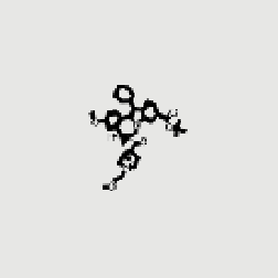 COCCN1CC2CCC1CN2C(=O)[C@]12C[C@H]1c1cc(OC)ccc1-c1c(C3CCCCC3)c3ccc(C(=O)OC(C)(C)C)cc3n1C2